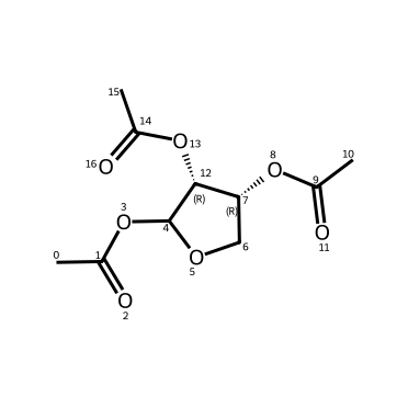 CC(=O)OC1OC[C@@H](OC(C)=O)[C@H]1OC(C)=O